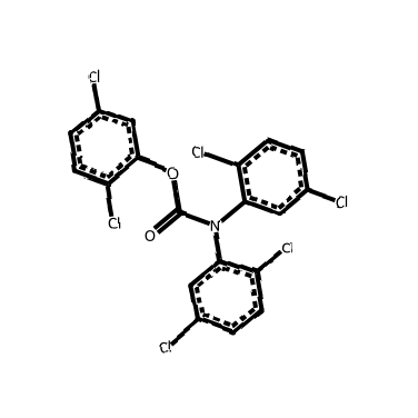 O=C(Oc1cc(Cl)ccc1Cl)N(c1cc(Cl)ccc1Cl)c1cc(Cl)ccc1Cl